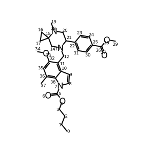 CCCCOC(=O)n1ccc2c(CN3CC4(CC4)N(C)CC3c3ccc(C(=O)OC)cc3)c(OC)cc(C)c21